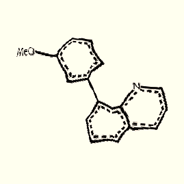 COc1cccc(-c2cccc3cccnc23)c1